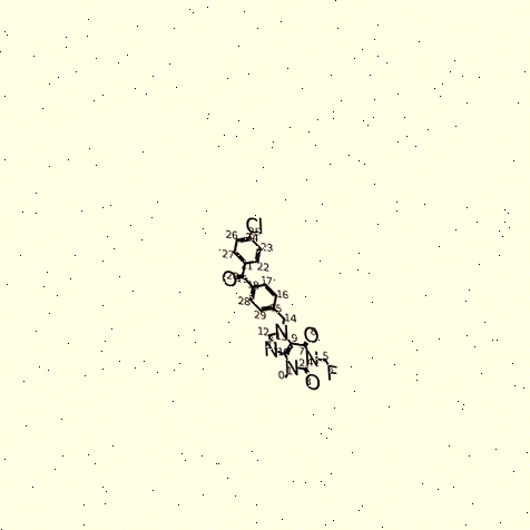 Cn1c(=O)n(CF)c(=O)c2c1ncn2Cc1ccc(C(=O)c2ccc(Cl)cc2)cc1